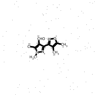 Cc1onc(-c2nn(C)c(Cl)c2C=O)c1C